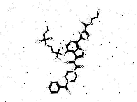 CC(C)(CCI)OCCC(C)(C)Oc1cnc(-c2nc(C(=O)NCCO)cs2)c2[nH]cc(C(=O)C(=O)N3CCN(C(=O)c4ccccc4)CC3)c12